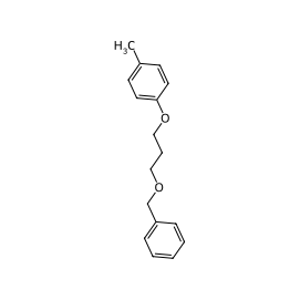 Cc1ccc(OCCCOCc2ccccc2)cc1